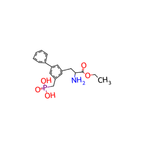 CCOC(=O)C(N)Cc1cc(CP(=O)(O)O)cc(-c2ccccc2)c1